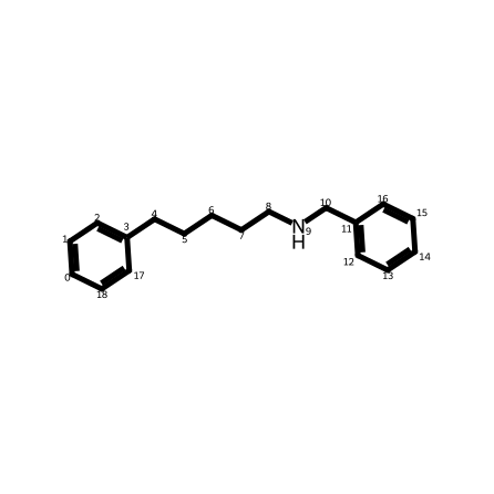 c1ccc(CCCCCNCc2ccccc2)cc1